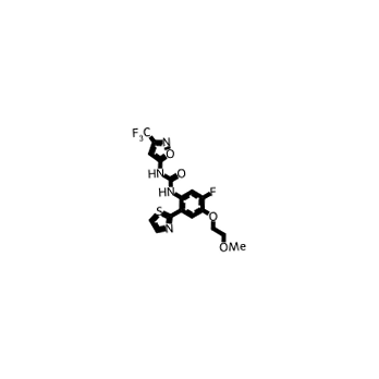 COCCOc1cc(-c2nccs2)c(NC(=O)Nc2cc(C(F)(F)F)no2)cc1F